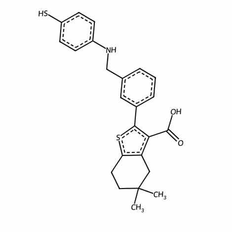 CC1(C)CCc2sc(-c3cccc(CNc4ccc(S)cc4)c3)c(C(=O)O)c2C1